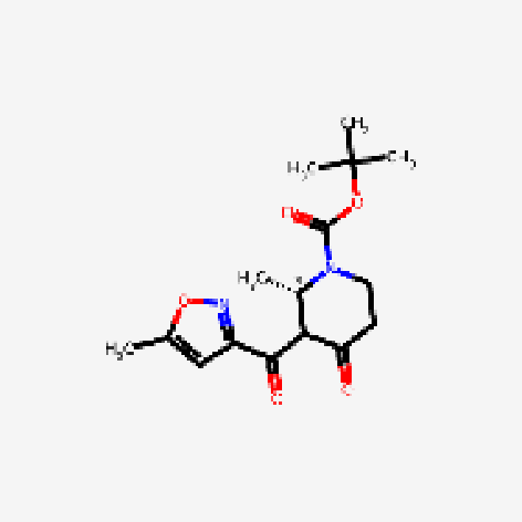 Cc1cc(C(=O)C2C(=O)CCN(C(=O)OC(C)(C)C)[C@H]2C)no1